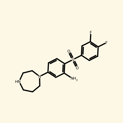 Nc1cc(N2CCCNCC2)ccc1S(=O)(=O)c1ccc(F)c(F)c1